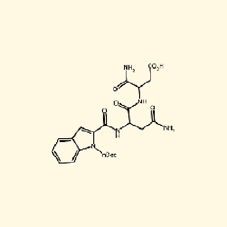 CCCCCCCCCCn1c(C(=O)NC(CC(N)=O)C(=O)NC(CC(=O)O)C(N)=O)cc2ccccc21